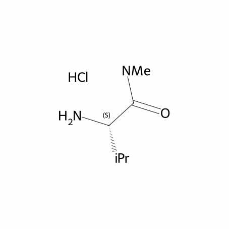 CNC(=O)[C@@H](N)C(C)C.Cl